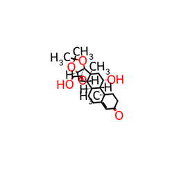 CC1(C)O[C@@H]2C[C@H]3[C@@H]4CCC5=CC(=O)CC[C@]5(C)[C@H]4[C@@H](O)C[C@]3(C)[C@]2(C(=O)CO)O1